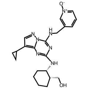 [O-][n+]1cccc(CNc2nc(N[C@H]3CCCC[C@H]3CO)nc3c(C4CC4)cnn23)c1